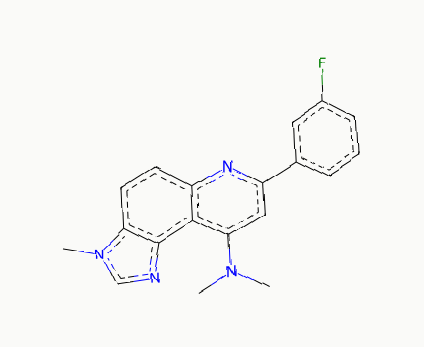 CN(C)c1cc(-c2cccc(F)c2)nc2ccc3c(ncn3C)c12